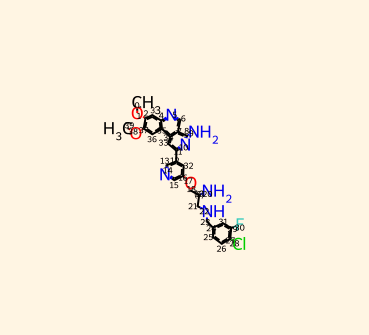 COc1cc2ncc3c(N)nc(-c4cncc(OC[C@@H](N)CNCc5ccc(Cl)c(F)c5)c4)cc3c2cc1OC